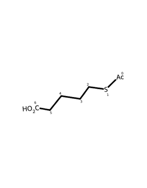 CC(=O)SCCCCC(=O)O